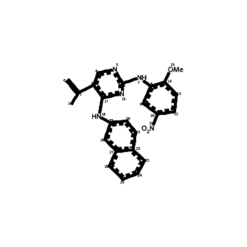 C=C(C)c1cnc(Nc2cc([N+](=O)[O-])ccc2OC)nc1Nc1ccc2ccccc2c1